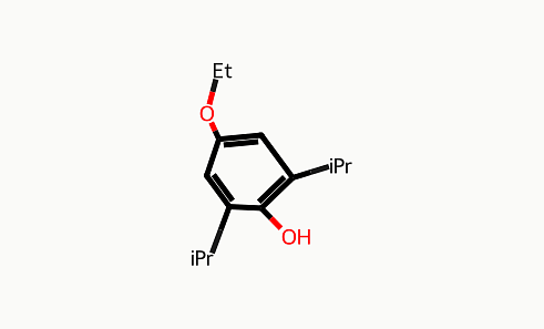 CCOc1cc(C(C)C)c(O)c(C(C)C)c1